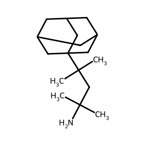 CC(C)(N)CC(C)(C)C12CC3CC(CC(C3)C1)C2